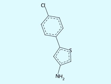 Nc1csc(-c2ccc(Cl)cc2)c1